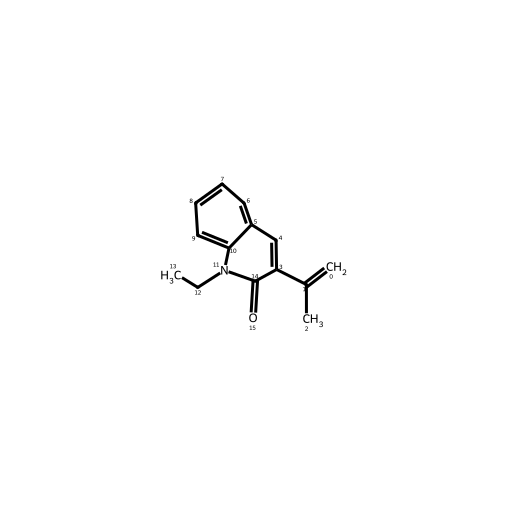 C=C(C)c1cc2ccccc2n(CC)c1=O